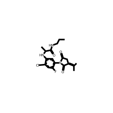 CCCNC(=O)C(C)Nc1cc(N2C(=O)CC(=C(C)C)C2=O)c(F)cc1Cl